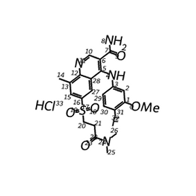 COc1cc(Nc2c(C(N)=O)cnc3c(C)cc(S(=O)(=O)CCC(=O)N(C)C)cc23)ccc1F.Cl